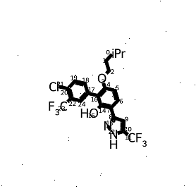 CC(C)CCOc1ccc(-c2cc(C(F)(F)F)[nH]n2)c(O)c1-c1ccc(Cl)c(C(F)(F)F)c1